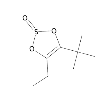 CCC1=C(C(C)(C)C)OS(=O)O1